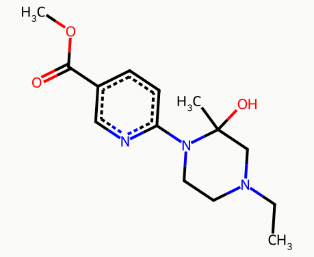 CCN1CCN(c2ccc(C(=O)OC)cn2)C(C)(O)C1